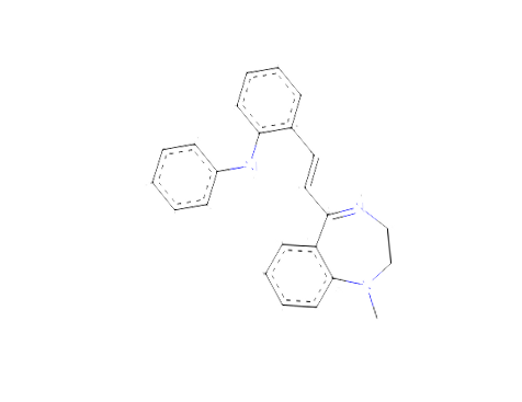 CN1CCN=C(C=Cc2ccccc2Nc2ccccc2)c2ccccc21